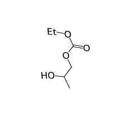 CCOC(=O)OCC(C)O